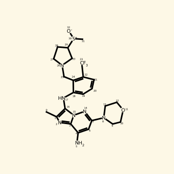 Cc1nc2c(N)cc(N3CCOCC3)nn2c1Nc1cccc(C(F)(F)F)c1CN1CCC([S+](C)[O-])C1